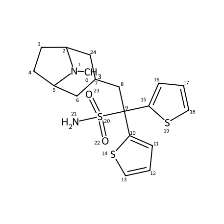 CN1C2CCC1CC(CC(c1cccs1)(c1cccs1)S(N)(=O)=O)C2